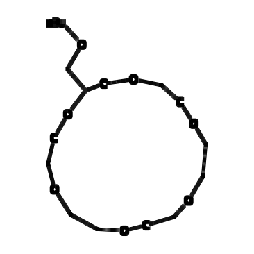 CCCCOCC1COCCOCCOCCOCCOCCO1